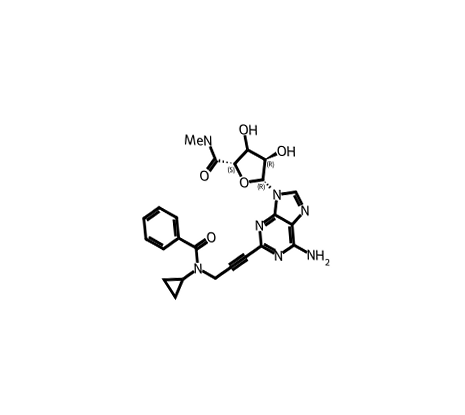 CNC(=O)[C@H]1O[C@@H](n2cnc3c(N)nc(C#CCN(C(=O)c4ccccc4)C4CC4)nc32)[C@H](O)C1O